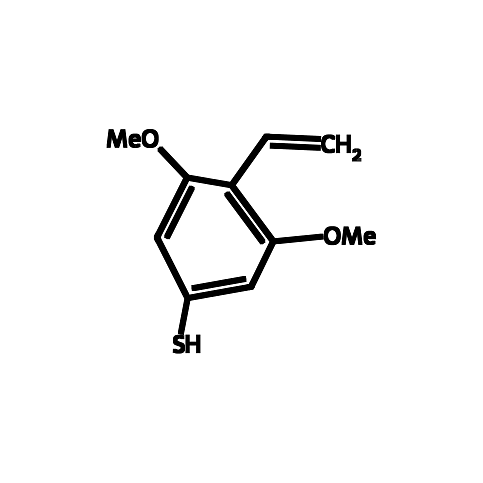 C=Cc1c(OC)cc(S)cc1OC